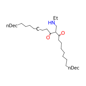 CCCCCCCCCCCCCCCCCC(=O)C(CNCC)C(=O)CCCCCCCCCCCCCCCCC